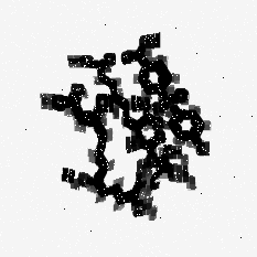 CC(C)(C)OC(=O)NC(CCCCCC(=O)O)C(=O)O.CC(C)=CCCC(C)=CCCC(C)=CC(=O)O.O=C(O)c1ccc(S(=O)(=O)c2ccc(Cl)cc2)cc1